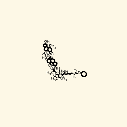 CC(C)[C@H](NC(=O)[C@H](N)CCCCNC(=O)COC1C#CCCCCC1)C(=O)N[C@@H](C)C(=O)Nc1ccc2c(c1)[C@@H]1[C@@H](CC2)[C@@](C)(C(=O)NC(=O)[C@@]2(C)CC[C@H](C)[C@@H]3c4cc(O)ccc4CC[C@H]32)CC[C@@H]1C